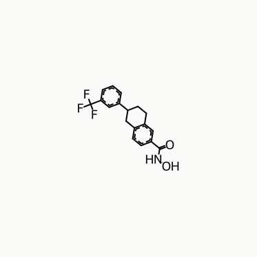 O=C(NO)c1ccc2c(c1)CCC(c1cccc(C(F)(F)F)c1)C2